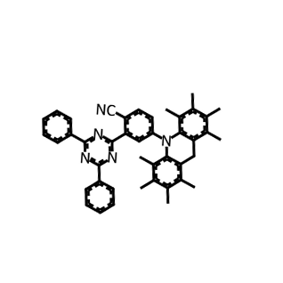 Cc1c(C)c(C)c2c(c1C)Cc1c(C)c(C)c(C)c(C)c1N2c1ccc(C#N)c(-c2nc(-c3ccccc3)nc(-c3ccccc3)n2)c1